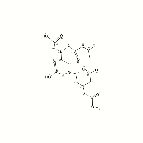 COC(=O)CN(CCN(CCN(CC(=O)O)CC(=O)OC(C)C)CC(=O)O)CC(=O)O